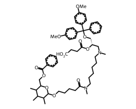 COc1ccc(C(OC[C@H](CN(C)CCCCCCN(C)C(=O)CCCCOC2OC(COC(=O)c3ccccc3)C(C)C(C)C2C)OC(=O)CCC(=O)O)(c2ccccc2)c2ccc(OC)cc2)cc1